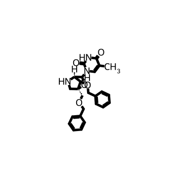 Cc1cn(C2O[C@@]3(COCc4ccccc4)CN[C@@H]2[C@@H]3OCc2ccccc2)c(=O)[nH]c1=O